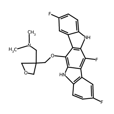 CN(C)CC1(COc2c3[nH]c4ccc(F)cc4c3c(F)c3[nH]c4ccc(F)cc4c23)COC1